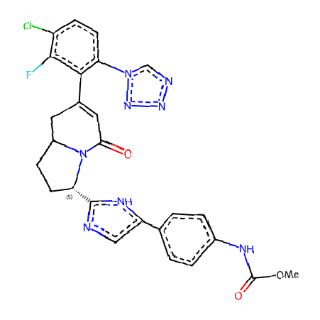 COC(=O)Nc1ccc(-c2cnc([C@@H]3CCC4CC(c5c(-n6cnnn6)ccc(Cl)c5F)=CC(=O)N43)[nH]2)cc1